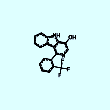 Oc1cnc(-c2ccccc2C(F)(F)F)c2c1[nH]c1ccccc12